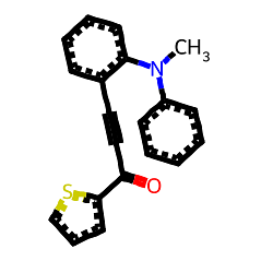 CN(c1ccccc1)c1ccccc1C#CC(=O)c1cccs1